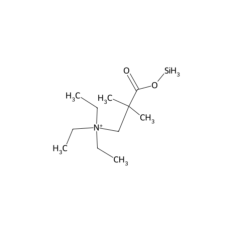 CC[N+](CC)(CC)CC(C)(C)C(=O)O[SiH3]